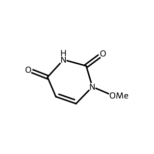 COn1ccc(=O)[nH]c1=O